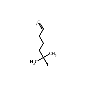 C=CCCCC(C)(C)I